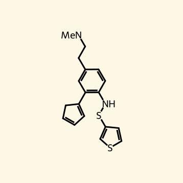 CNCCc1ccc(NSc2ccsc2)c(C2=CC=CC2)c1